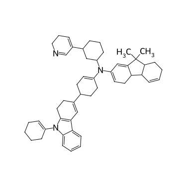 CC1(C)C2=CC(N(C3=CCC(C4=Cc5c(n(C6=CCCCC6)c6ccccc56)CC4)CC3)C3CCCC(C4=CCCN=C4)C3)=CCC2C2C=CCCC21